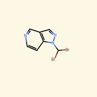 BrC(Br)n1ncc2cnccc21